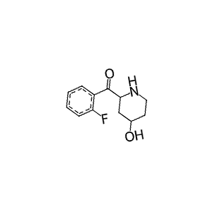 O=C(c1ccccc1F)C1CC(O)CCN1